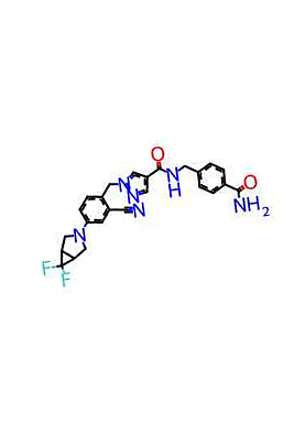 N#Cc1cc(N2CC3C(C2)C3(F)F)ccc1Cn1cc(C(=O)NCc2ccc(C(N)=O)cc2)cn1